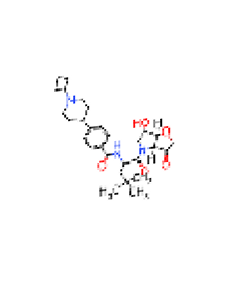 CC(C)(C)CC(NC(=O)c1ccc(C2CCN(C3CCC3)CC2)cc1)C(=O)N1C[C@H](O)[C@H]2OCC(=O)[C@H]21